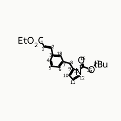 CCOC(=O)C=Cc1cccc(Cc2cccn2C(=O)OC(C)(C)C)c1